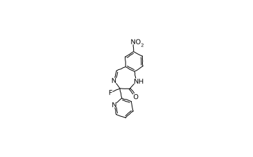 O=C1Nc2ccc([N+](=O)[O-])cc2C=NC1(F)c1ccccn1